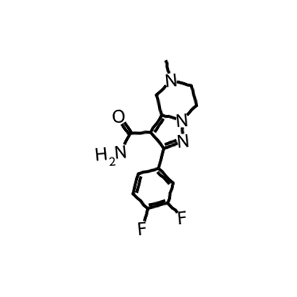 CN1CCn2nc(-c3ccc(F)c(F)c3)c(C(N)=O)c2C1